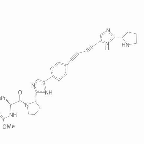 COC(=O)N[C@H](C(=O)N1CCC[C@H]1c1ncc(-c2ccc(C#CC#Cc3cnc([C@@H]4CCCN4)[nH]3)cc2)[nH]1)C(C)C